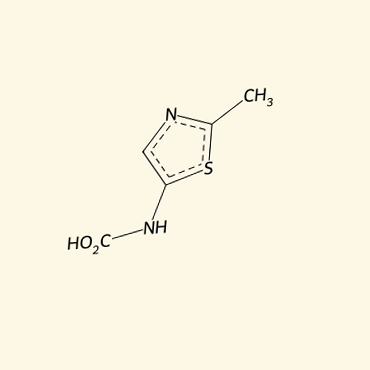 Cc1ncc(NC(=O)O)s1